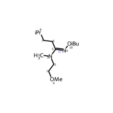 COCCN(C)/C(CCC(C)C)=N/OCC(C)C